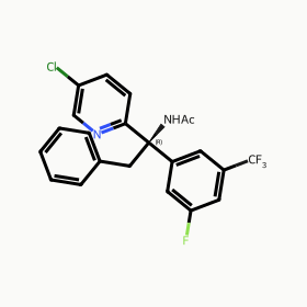 CC(=O)N[C@](Cc1ccccc1)(c1cc(F)cc(C(F)(F)F)c1)c1ccc(Cl)cn1